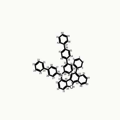 C1=CCCC(c2cc3c(oc4cccc(N(c5ccc(-c6ccccc6)cc5)c5cccc(-c6ccc(-c7ccccc7)cc6)c5)c43)c3ccccc23)=C1